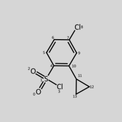 O=S(=O)(Cl)c1ccc(Cl)cc1C1CC1